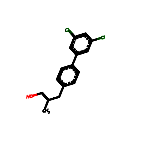 CC(CO)Cc1ccc(-c2cc(Cl)cc(Cl)c2)cc1